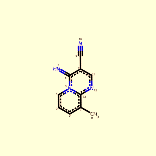 Cc1cccn2c(=N)c(C#N)cnc12